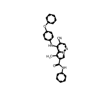 Cc1c(C(=O)Nc2ccccc2)cn2ncc(C#N)c(Nc3ccc(Oc4ccccc4)cc3)c12